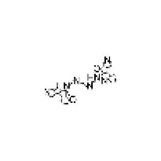 CN(CCCN(C)CCNc1nc2c(c3c1C=c1cnccc1=3)=CC=CC2=O)CCNc1nc2ccccc2c2c1C(=O)c1cnccc1-2